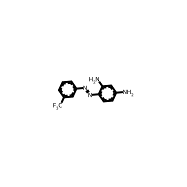 Nc1ccc(N=Nc2cccc(C(F)(F)F)c2)c(N)c1